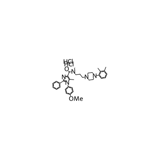 COc1ccc(-n2c(-c3ccccc3)nc(C(=O)N(C)CCCN3CCN(c4cccc(C)c4C)CC3)c2C)cc1.Cl.Cl